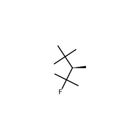 C[C@H](C(C)(C)C)C(C)(C)F